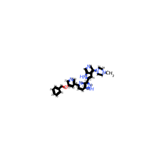 CN1CCN(c2cncc3[nH]c(-c4n[nH]c5ccc(-c6cncc(OCc7ccccc7)c6)nc45)cc23)CC1